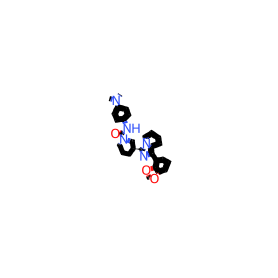 CN(C)c1ccc(NC(=O)N2CCC[C@@H](c3nc(-c4cccc5c4OCO5)c4ccccn34)C2)cc1